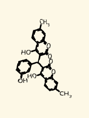 Cc1ccc2c(O)c(C(c3cccc(O)c3)c3c(O)c4ccc(C)cc4oc3=O)c(=O)oc2c1